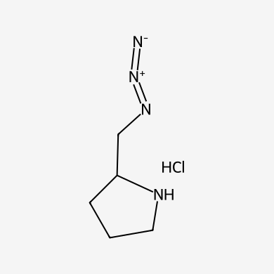 Cl.[N-]=[N+]=NCC1CCCN1